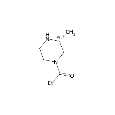 CCC(=O)N1CCN[C@H](C)C1